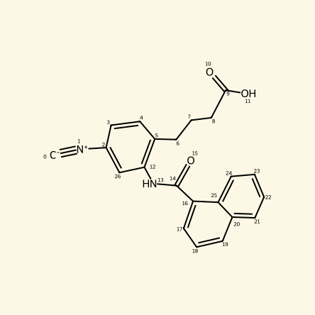 [C-]#[N+]c1ccc(CCCC(=O)O)c(NC(=O)c2cccc3ccccc23)c1